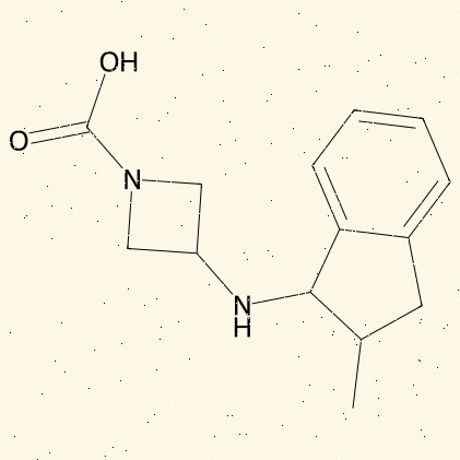 CC1Cc2ccccc2C1NC1CN(C(=O)O)C1